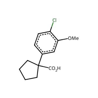 COc1cc(C2(C(=O)O)CCCC2)ccc1Cl